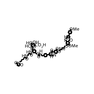 COc1ccc(C2=CN3C(=O)c4cc(OC)c(OCCCCCOc5cc6c(cc5OC)C(=O)N5C=C(c7ccc(CNC(=O)OCc8ccc(O[C@@H]9OC(C(=O)O)[C@@H](O)C(O)[C@@H]9O)c(NC(=O)CCNC(=O)CCCCCN9C(=O)C=CC9=O)c8)cc7)C[C@H]5C=N6)cc4N=C[C@@H]3C2)cc1